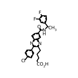 C[C@@H](NC(=O)c1ccc2nc(-c3ccc(Cl)cc3)c(CCCCC(=O)O)nc2c1)c1ccc(F)c(F)c1